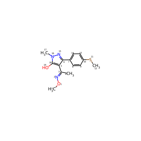 CO/N=C(\C)c1c(-c2ccc(SC)cc2)nn(C)c1O